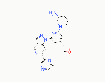 Cc1cncc(-c2cc3c(cn2)cnn3-c2cc(C3COC3)cc(N3CCCC(N)C3)n2)n1